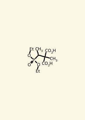 CCOP(=O)(OCC)C(C)C(C)(C(=O)O)C(=O)O